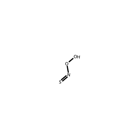 OON=S